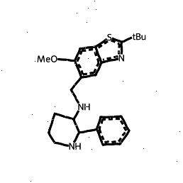 COc1cc2sc(C(C)(C)C)nc2cc1CNC1CCCNC1c1ccccc1